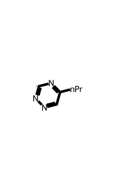 CCCc1cnn[c]n1